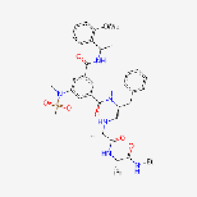 CCNC(=O)[C@@H](NC(=O)[C@H](C)NC[C@H](Cc1ccccc1)NC(=O)c1cc(C(=O)NC(C)c2ccccc2OC)cc(N(C)S(C)(=O)=O)c1)C(C)C